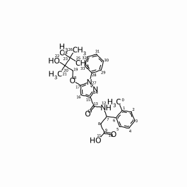 Cc1ccccc1C(CC(=O)O)NC(=O)c1cc(OCC(C)(O)C(C)(C)C)n(-c2ccccc2)n1